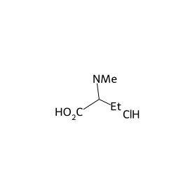 CCC(NC)C(=O)O.Cl